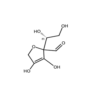 O=CC1([C@H](O)CO)OCC(O)=C1O